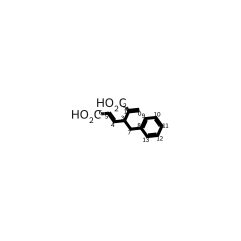 C=C(C(=O)O)C(C=CC(=O)O)Cc1ccccc1